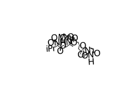 COC(=O)NC(C(=O)OC[C@H](C)NP(=O)(OC[C@@H]1C[C@H](Cl)[C@H](n2ccc(=O)[nH]c2=O)O1)Oc1ccccc1)C(C)C